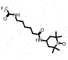 CC1(C)CC(NC(=O)CCCCCNC(=O)C(F)(F)F)CC(C)(C)N1[O]